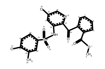 COC(=O)c1ccccc1C(=O)c1ncc(Cl)cc1NS(=O)(=O)c1ccc(Cl)c(C)c1